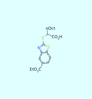 CCCCCCCCC(Sc1nc2cc(C(=O)OCC)ccc2s1)C(=O)O